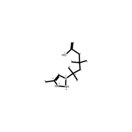 C=C(O)CC(C)(C)CC(C)(C)N1C=C(C)NN1